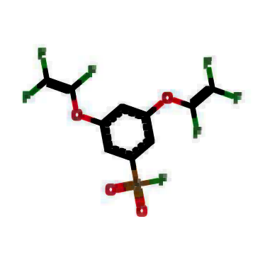 O=S(=O)(F)c1cc(OC(F)=C(F)F)cc(OC(F)=C(F)F)c1